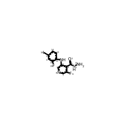 NNC(=O)c1c(F)cncc1Nc1ccc(I)cc1F